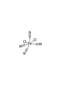 N#[C][Fe]([Cl])([Cl])([C]#N)([C]#N)[C]#N